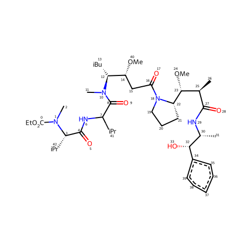 CCOC(=O)N(C)[C@H](C(=O)NC(C(=O)N(C)[C@@H]([C@@H](C)CC)[C@@H](CC(=O)N1CCC[C@H]1[C@H](OC)[C@@H](C)C(=O)N[C@H](C)[C@@H](O)c1ccccc1)OC)C(C)C)C(C)C